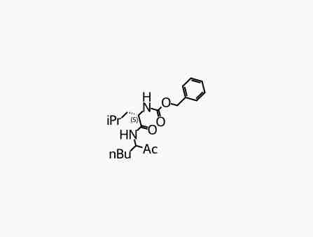 CCCCC(NC(=O)[C@H](CC(C)C)NC(=O)OCc1ccccc1)C(C)=O